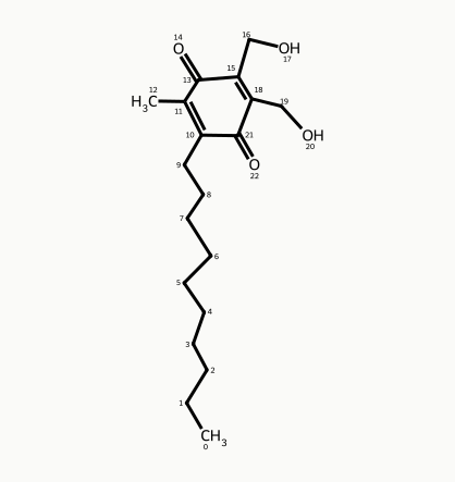 CCCCCCCCCCC1=C(C)C(=O)C(CO)=C(CO)C1=O